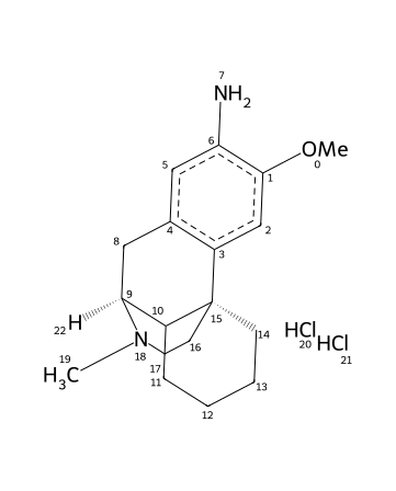 COc1cc2c(cc1N)C[C@H]1C3CCCC[C@@]23CCN1C.Cl.Cl